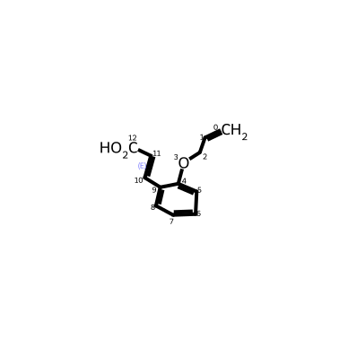 C=CCOc1ccccc1/C=C/C(=O)O